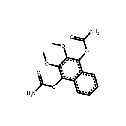 COc1c(OC)c(OC(N)=O)c2ccccc2c1OC(N)=O